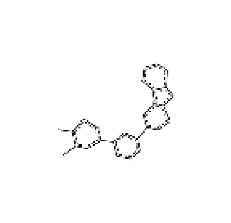 Cc1cnc(-c2cccc(-c3ccc4cc5ccccc5n4c3)c2)cc1C